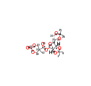 CC1(C)O[C@@H]2[C@H](O1)[C@@H](OC(=O)C1(C)COC(=O)OC1)O[C@@H]2[C@@H]1COC(C)(C)O1